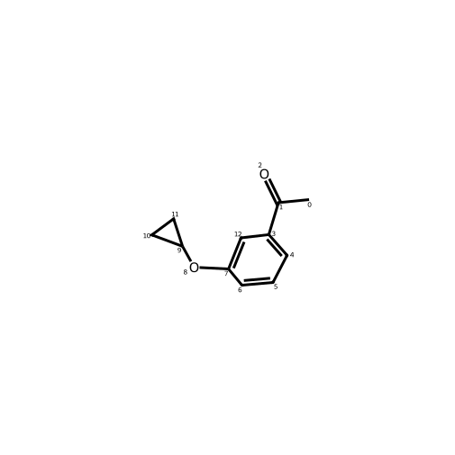 CC(=O)c1cccc(OC2CC2)c1